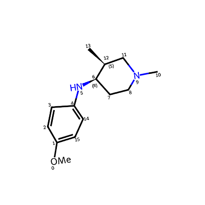 COc1ccc(N[C@@H]2CCN(C)C[C@@H]2C)cc1